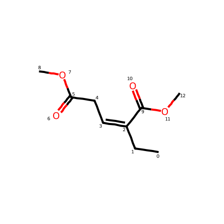 CC/C(=C/CC(=O)OC)C(=O)OC